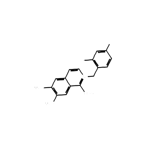 CCCCCCc1c2cc(OC)c(OC)cc2cc[n+]1Cc1ccc(F)cc1CCCC